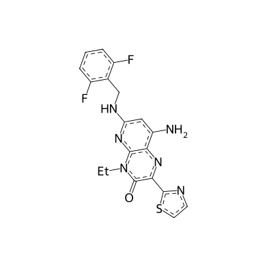 CCn1c(=O)c(-c2nccs2)nc2c(N)cc(NCc3c(F)cccc3F)nc21